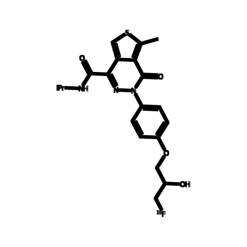 Cc1scc2c(C(=O)NC(C)C)nn(-c3ccc(OCC(O)C[18F])cc3)c(=O)c12